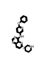 c1ccc(Oc2ccc(Nc3ncnc4ccc([C@H]5CCCNC5)nc34)cn2)cc1